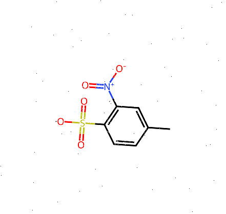 Cc1ccc(S([O])(=O)=O)c([N+](=O)[O-])c1